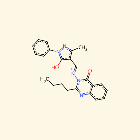 CCCCc1nc2ccccc2c(=O)n1/N=C/c1c(C)nn(-c2ccccc2)c1O